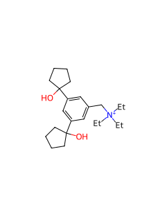 CC[N+](CC)(CC)Cc1cc(C2(O)CCCC2)cc(C2(O)CCCC2)c1